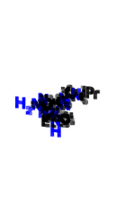 C=C/C(=C\N=C(/C)C(C)C)n1cc(-c2cnc(N)c3nc(CC)c(NC4CCCC4)nc23)cn1